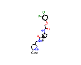 COC1CCC(CNC(=O)[C@@H]2CC3(NC(=O)COc4ccc(Cl)c(F)c4)CC2C3)CN1